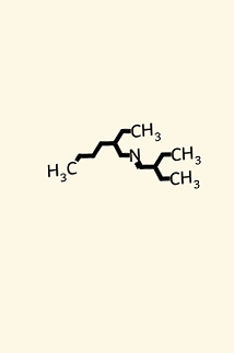 CCCCC(CC)CN=CC(CC)CC